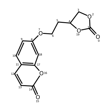 O=C1OCC(CCOc2ccc3ccc(=O)oc3c2)O1